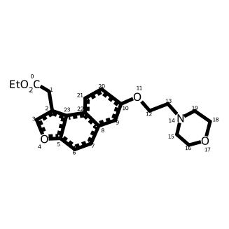 CCOC(=O)Cc1coc2ccc3cc(OCCN4CCOCC4)ccc3c12